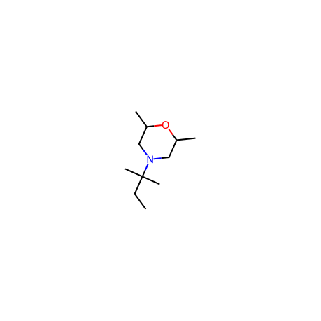 CCC(C)(C)N1CC(C)OC(C)C1